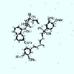 C=C[C@H]1C[N@]2CC[C@H]1C[C@H]2[C@H](O)c1ccnc2ccc(OC)cc12.COc1ccc(CCN(C)CCCC(C#N)(c2ccc(OC)c(OC)c2)C(C)C)cc1OC